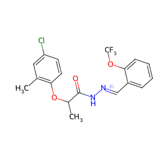 Cc1cc(Cl)ccc1OC(C)C(=O)N/N=C/c1ccccc1OC(F)(F)F